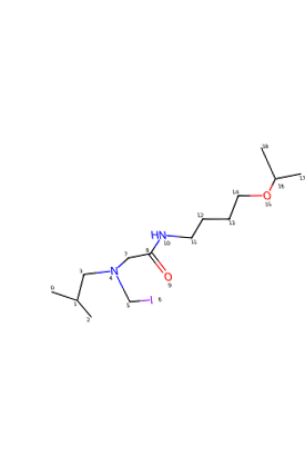 CC(C)CN(CI)CC(=O)NCCCCOC(C)C